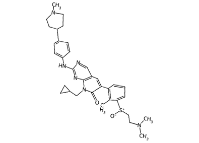 Cc1c(-c2cc3cnc(Nc4ccc(C5CCN(C)CC5)cc4)nc3n(CC3CC3)c2=O)cccc1[S+]([O-])CCN(C)C